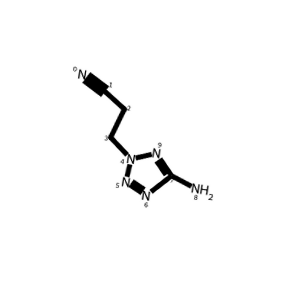 N#CCCn1nnc(N)n1